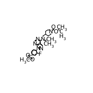 CC(C)OC(=O)N1CCC(CN(c2ncnc3c2cnn3-c2ccc(S(C)(=O)=O)cc2F)C(C)C)CC1